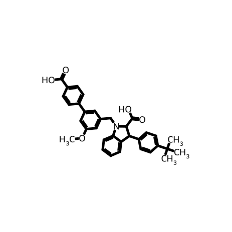 COc1cc(CN2c3ccccc3C(c3ccc(C(C)(C)C)cc3)C2C(=O)O)cc(-c2ccc(C(=O)O)cc2)c1